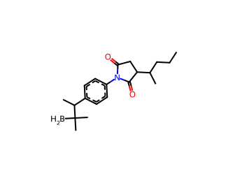 BC(C)(C)C(C)c1ccc(N2C(=O)CC(C(C)CCC)C2=O)cc1